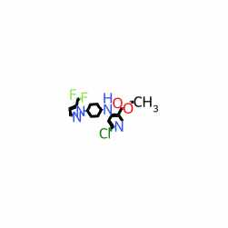 CCOC(=O)c1cnc(Cl)cc1N[C@H]1CC[C@H](n2nccc2C(F)F)CC1